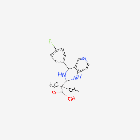 CC(C)(C(=O)O)C1Nc2ccncc2C(c2ccc(F)cc2)N1